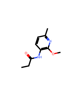 CCC(=O)Nc1ccc(C)nc1OC